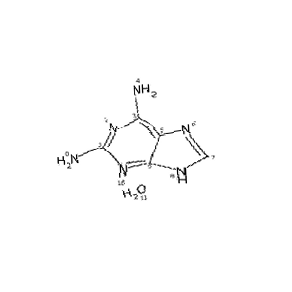 Nc1nc(N)c2nc[nH]c2n1.O